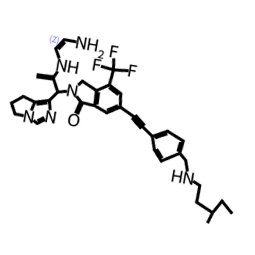 C=C(N/C=C\N)C(c1ncn2c1CCC2)N1Cc2c(cc(C#Cc3ccc(CNCCC(C)CC)cc3)cc2C(F)(F)F)C1=O